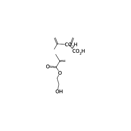 C=C(C)C(=O)O.C=C(C)C(=O)OCCO.C=CC(=O)O